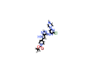 CN1CCN(c2cc(Nc3ncnc4c3CC(C3=CCN(C(=O)OC(C)(C)C)CC3)N4)cc(Cl)n2)CC1